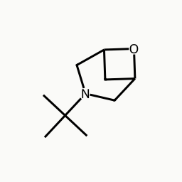 CC(C)(C)N1CC2CC(C1)O2